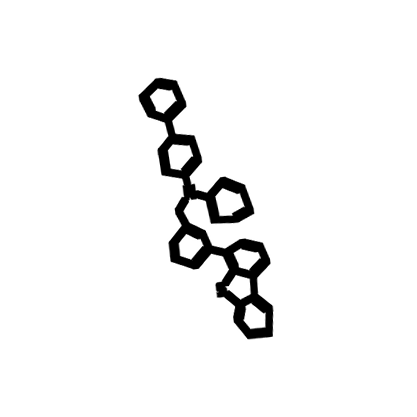 c1ccc(-c2ccc(N(Cc3cccc(-c4cccc5c4sc4ccccc45)c3)c3ccccc3)cc2)cc1